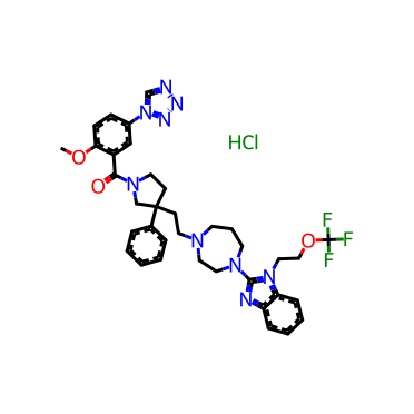 COc1ccc(-n2cnnn2)cc1C(=O)N1CCC(CCN2CCCN(c3nc4ccccc4n3CCOC(F)(F)F)CC2)(c2ccccc2)C1.Cl